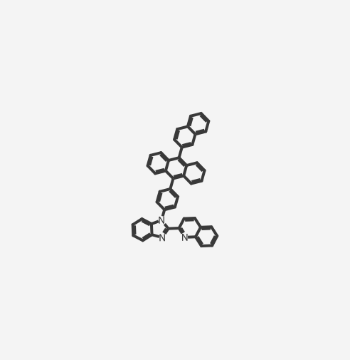 c1ccc2cc(-c3c4ccccc4c(-c4ccc(-n5c(-c6ccc7ccccc7n6)nc6ccccc65)cc4)c4ccccc34)ccc2c1